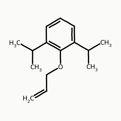 C=CCOc1c(C(C)C)cccc1C(C)C